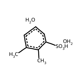 Cc1cccc(S(=O)(=O)O)c1C.O.O